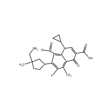 Cc1c(F)c(N2CCC(C)(CN)C2)c([N+](=O)[O-])c2c1c(=O)c(C(=O)O)cn2C1CC1